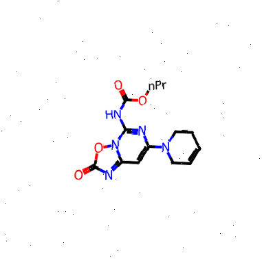 CCCOC(=O)Nc1nc(N2CC=CCC2)cc2nc(=O)on12